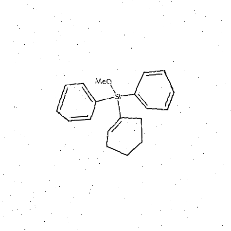 CO[Si](C1=CCCCC1)(c1ccccc1)c1ccccc1